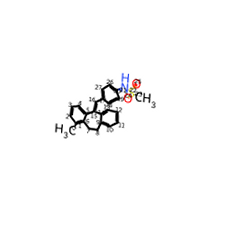 Cc1cccc2c1CCc1ccccc1C2=Cc1ccc(NS(C)(=O)=O)cc1